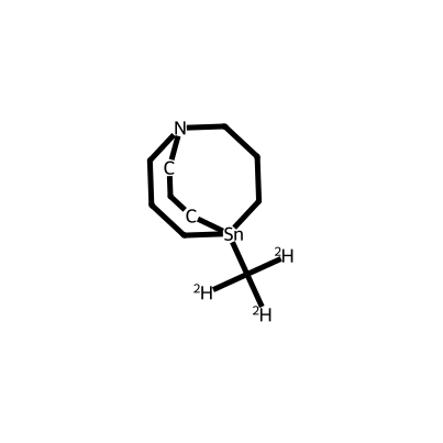 [2H][C]([2H])([2H])[Sn]12[CH2]CCN(CC[CH2]1)CC[CH2]2